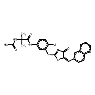 CC(C)(NC(=O)O)C(=O)Nc1ccc(Cl)c(NC2=NC(=O)C(=Cc3ccc4ncccc4c3)S2)c1